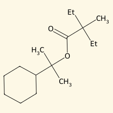 CCC(C)(CC)C(=O)OC(C)(C)C1CCCCC1